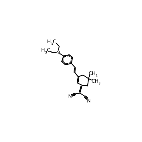 CCN(CC)c1ccc(C=CC2=CC(=C(C#N)C#N)CC(C)(C)C2)cc1